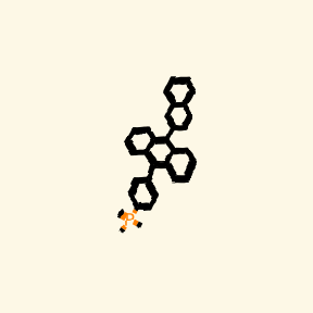 C=P(C)(C)c1ccc(-c2c3ccccc3c(-c3ccc4ccccc4c3)c3ccccc23)cc1